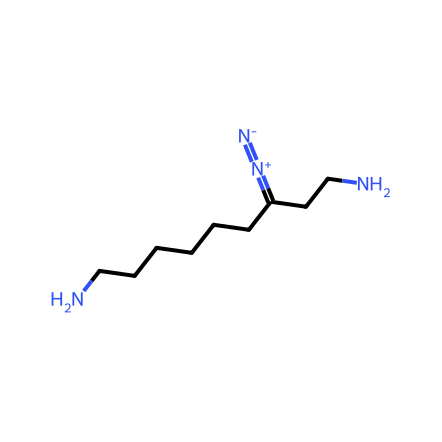 [N-]=[N+]=C(CCN)CCCCCCN